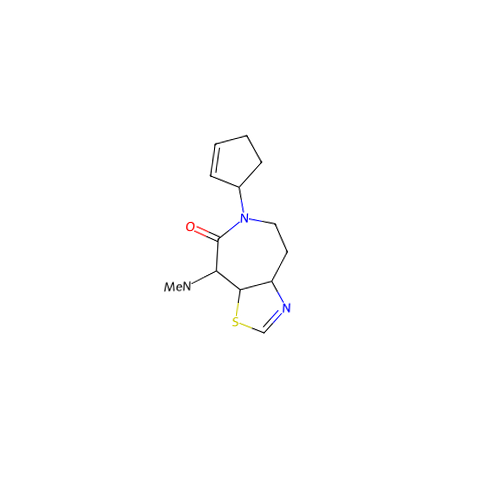 CNC1C(=O)N(C2C=CCC2)CCC2N=CSC21